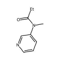 CCC(=O)N(C)c1cccnc1